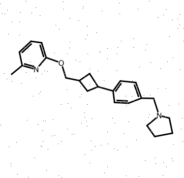 Cc1cccc(OCC2CC(c3ccc(CN4CCCC4)cc3)C2)n1